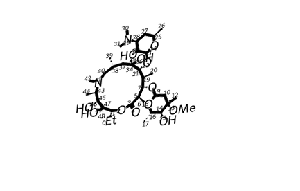 CC[C@H]1OC(=O)[C@H](C)[C@@H](OC2C[C@@](C)(OC)[C@@H](O)[C@H](C)O2)[C@H](C)[C@@H](O[C@@H]2O[C@H](C)C[C@H](N(C)C)[C@H]2O)[C@@](C)(O)C[C@@H](C)CN(C)[C@H](C)[C@@H](O)[C@]1(C)O